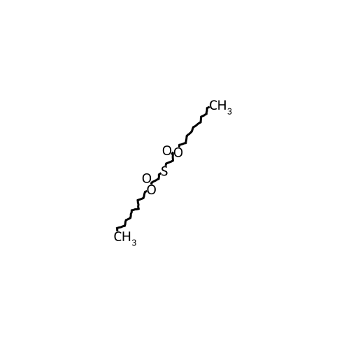 CCCCCCCCCCOC(=O)CCSCCC(=O)OCCCCCCCCCC